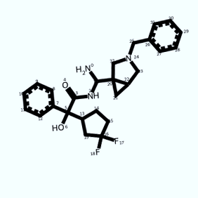 NC(NC(=O)C(O)(c1ccccc1)C1CCC(F)(F)C1)C12CC1CN(Cc1ccccc1)C2